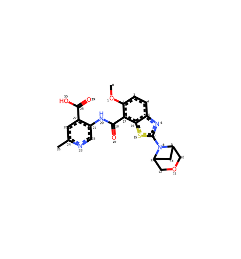 COc1ccc2nc(N3C4COCC3C4)sc2c1C(=O)Nc1cnc(C)cc1C(=O)O